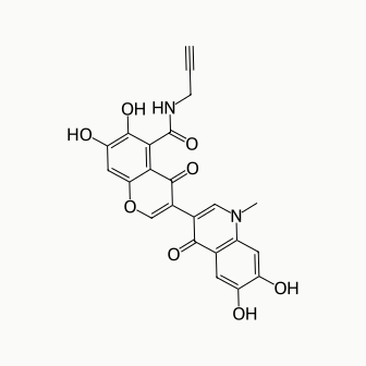 C#CCNC(=O)c1c(O)c(O)cc2occ(-c3cn(C)c4cc(O)c(O)cc4c3=O)c(=O)c12